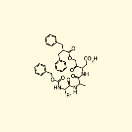 CC(NC(=O)C(NC(=O)OCc1ccccc1)C(C)C)C(=O)NC(CC(=O)O)C(=O)COC(=O)C(Cc1ccccc1)Cc1ccccc1